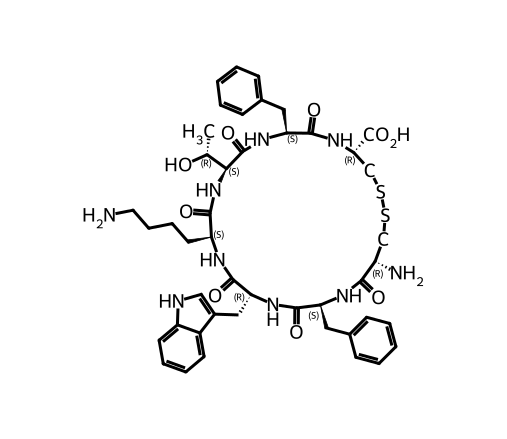 C[C@@H](O)[C@@H]1NC(=O)[C@H](CCCCN)NC(=O)[C@@H](Cc2c[nH]c3ccccc23)NC(=O)[C@H](Cc2ccccc2)NC(=O)[C@@H](N)CSSC[C@@H](C(=O)O)NC(=O)[C@H](Cc2ccccc2)NC1=O